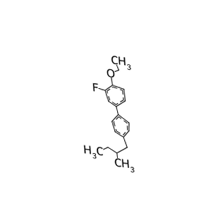 CCOc1ccc(-c2ccc(CC(C)CC)cc2)cc1F